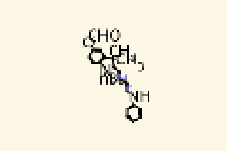 CCCC[N+]1=C(/C=C/C=C/Nc2ccccc2)C(C)(C)c2cc(OC=O)ccc21